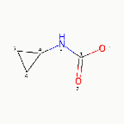 [O]C(=O)NC1CC1